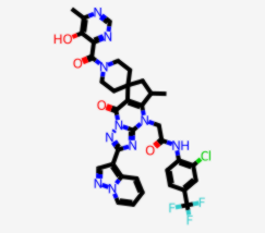 Cc1ncnc(C(=O)N2CCC3(CC2)CC(C)c2c3c(=O)n3nc(-c4cnn5ccccc45)nc3n2CC(=O)Nc2ccc(C(F)(F)F)cc2Cl)c1O